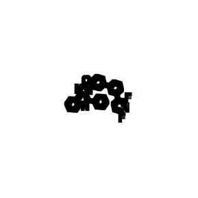 Fc1ccc(-c2cccc(-c3ccc4oc5nc6c7ccccc7nc(-c7ccccc7)c6n5c4c3)c2)c(F)n1